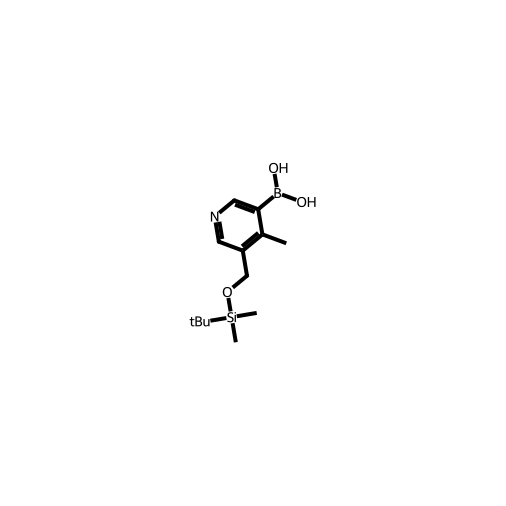 Cc1c(CO[Si](C)(C)C(C)(C)C)cncc1B(O)O